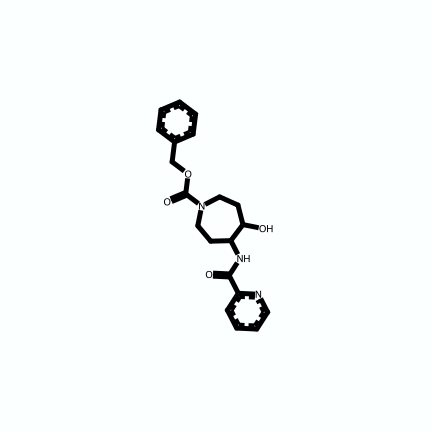 O=C(NC1CCN(C(=O)OCc2ccccc2)CCC1O)c1ccccn1